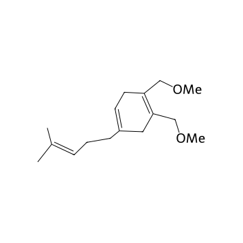 COCC1=C(COC)CC(CCC=C(C)C)=CC1